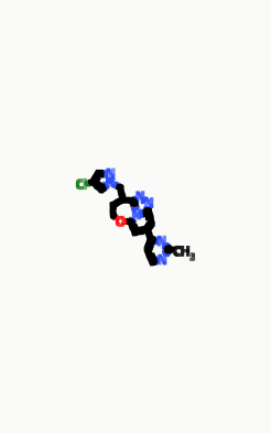 Cc1nccc(-c2cc3n4c(nnc4c2)C(Cn2cc(Cl)cn2)CCO3)n1